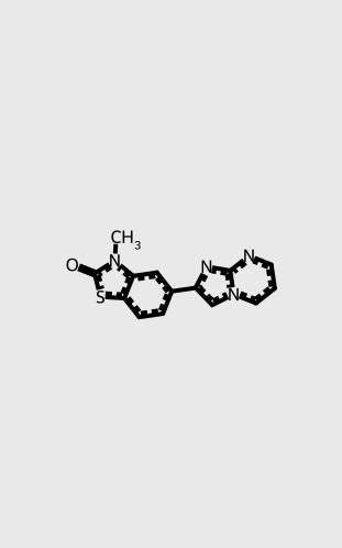 Cn1c(=O)sc2ccc(-c3cn4cccnc4n3)cc21